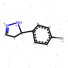 Brc1ccc(C2CC=NN2)cc1